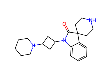 O=C1N(C2CC(N3CCCCC3)C2)c2ccccc2C12CCNCC2